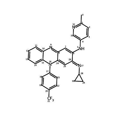 Cc1ccc(Nc2cc3nc4ccccc4n(-c4ccc(C(F)(F)F)cc4)c-3c/c2=N\C2CC2)cn1